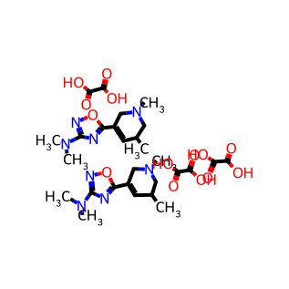 CC1C=C(c2nc(N(C)C)no2)CN(C)C1.CC1C=C(c2nc(N(C)C)no2)CN(C)C1.O=C(O)C(=O)O.O=C(O)C(=O)O.O=C(O)C(=O)O